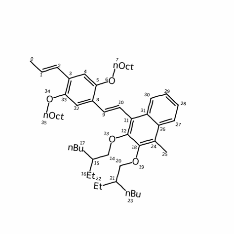 C/C=C/c1cc(OCCCCCCCC)c(/C=C/c2c(OCC(CC)CCCC)c(OCC(CC)CCCC)c(C)c3ccccc23)cc1OCCCCCCCC